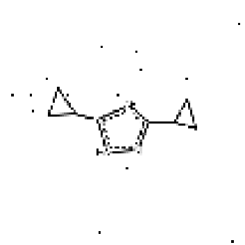 C1CC1c1n[nH]c(C2CC2)n1